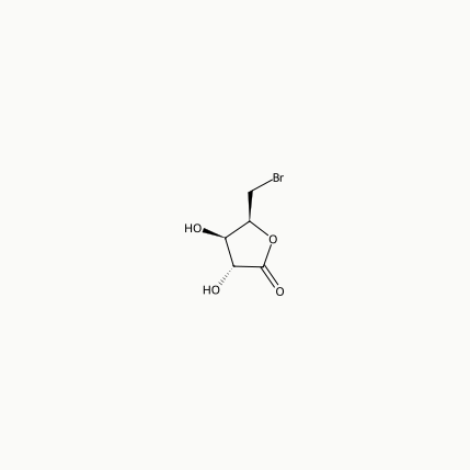 O=C1O[C@H](CBr)[C@H](O)[C@H]1O